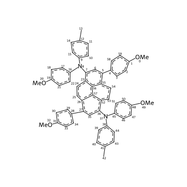 COc1ccc(-c2cc(N(c3ccc(C)cc3)c3ccc(OC)cc3)c3ccc4c(-c5ccc(OC)cc5)cc(N(c5ccc(C)cc5)c5ccc(OC)cc5)c5ccc2c3c45)cc1